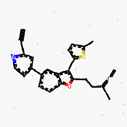 C#Cc1cc(-c2ccc3oc(CCC(C)=C=C)c(-c4ccc(C)s4)c3c2)ccn1